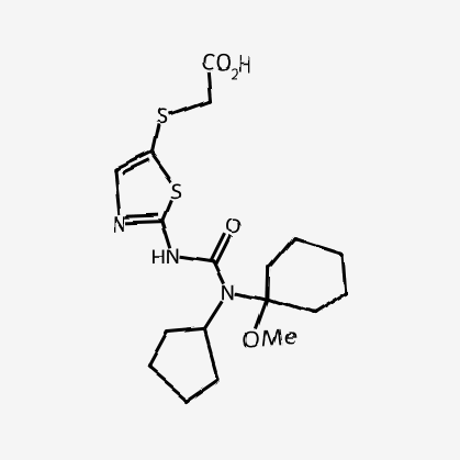 COC1(N(C(=O)Nc2ncc(SCC(=O)O)s2)C2CCCC2)CCCCC1